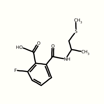 CSCC(C)NC(=O)c1cccc(F)c1C(=O)O